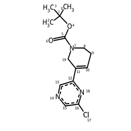 CC(C)(C)OC(=O)N1CCC=C(c2cncc(Cl)n2)C1